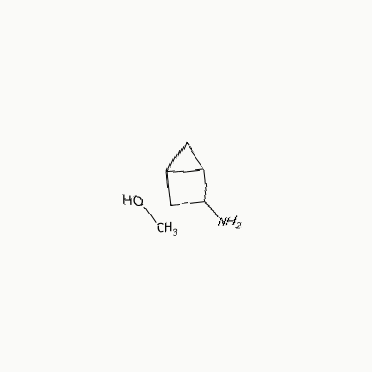 CO.NC1CC2CC12